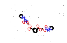 O=C(OCO/[N+]([O-])=N/N1CCCC1)c1cccc(C(=O)OCO/[N+]([O-])=N/N2CCCC2)c1